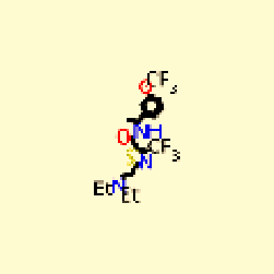 CCN(CC)CCc1nc(C(F)(F)F)c(C(=O)NC(C)c2cccc(OC(F)(F)F)c2)s1